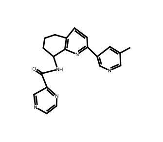 Cc1cncc(-c2ccc3c(n2)C(NC(=O)c2cnccn2)CCC3)c1